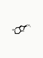 C=C1C=C2CNCCC2S1